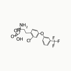 C[C@@](N)(CCc1ccc(Oc2cccc(C(F)(F)F)c2)cc1Cl)CP(=O)(O)O